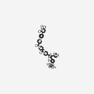 CCCS(=O)(=O)Nc1cccc(-c2nc(C3CCN(C(=O)C4(C)CCN(C(=O)C5CCN(c6ccc([C@@H]7CCC(=O)NC7=O)cc6)CC5)CC4)CC3)sc2-c2ccncn2)c1F